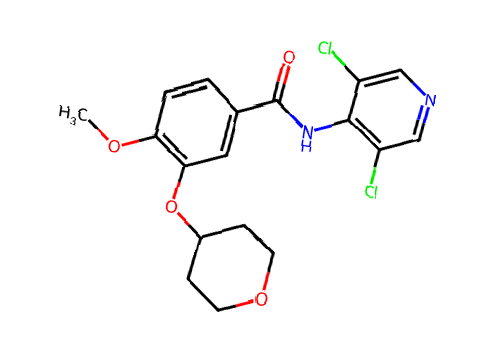 COc1ccc(C(=O)Nc2c(Cl)cncc2Cl)cc1OC1CCOCC1